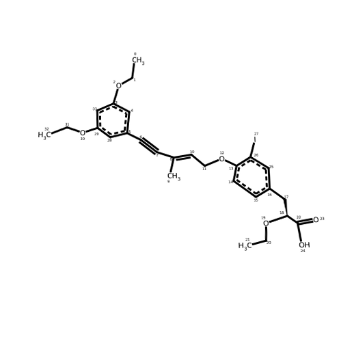 CCOc1cc(C#CC(C)=CCOc2ccc(C[C@H](OCC)C(=O)O)cc2I)cc(OCC)c1